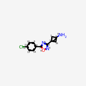 NC12CC(c3noc(-c4ccc(Cl)cc4)n3)(C1)C2